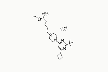 CCOC(=N)CCCCN1CCN(c2cc(C3CCC3)nc(C(C)(C)C)n2)CC1.Cl